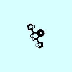 O=C(c1ccco1)[C]12[CH]3[CH]4[CH]5[C]1(C(=O)c1ccco1)[Fe]43521678[CH]2[CH]1[CH]6[CH]7[CH]28